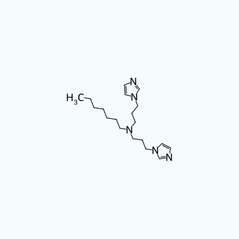 CCCCCCCN(CCCn1ccnc1)CCCn1ccnc1